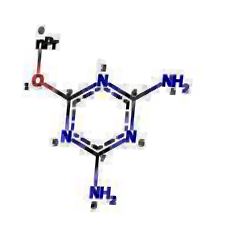 CCCOc1nc(N)nc(N)n1